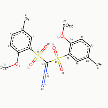 CCCCCCCCOc1ccc(C(C)C)cc1S(=O)(=O)C(=[N+]=[N-])S(=O)(=O)c1cc(C(C)C)ccc1OCCCCCCCC